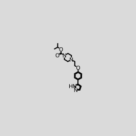 CC(C)OC(=O)N1CCN(CCOc2ccc(-c3ccn[nH]3)cc2)CC1